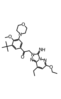 CCOc1cc(CC)c2nn(CC(=O)c3cc(N4CCOCC4)c(OC)c(C(C)(C)C)c3)c(=N)n2n1